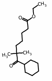 CCOC(=O)CCCCC(C)(C)C(=O)C1CCCCC1